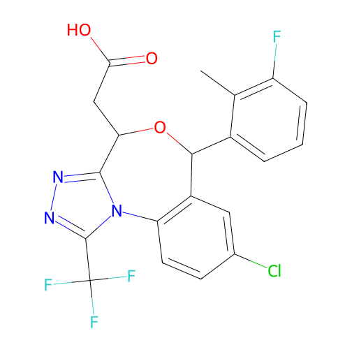 Cc1c(F)cccc1C1OC(CC(=O)O)c2nnc(C(F)(F)F)n2-c2ccc(Cl)cc21